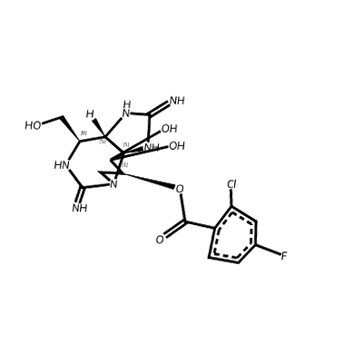 N=C1N[C@H]2[C@H](CO)NC(=N)N3C[C@H](OC(=O)c4ccc(F)cc4Cl)C(O)(O)[C@]23N1